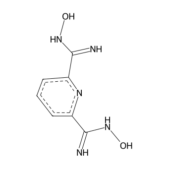 N=C(NO)c1cccc(C(=N)NO)n1